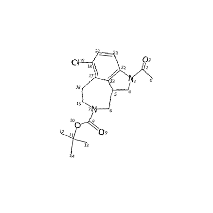 CC(=O)N1CC2CN(C(=O)OC(C)(C)C)CCc3c(Cl)ccc1c32